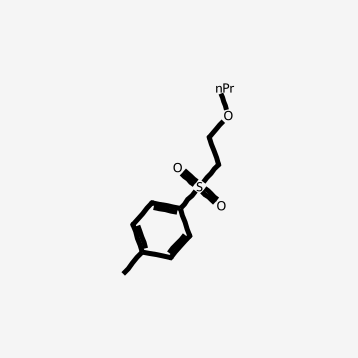 CCCOCCS(=O)(=O)c1ccc(C)cc1